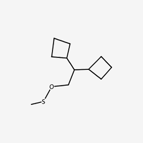 CSOCC(C1CCC1)C1CCC1